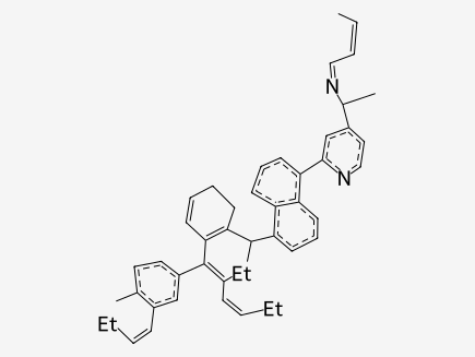 C/C=C\C=N/C(C)c1ccnc(-c2cccc3c(C(C)C4=C(/C(=C(/C=C\CC)CC)c5ccc(C)c(/C=C\CC)c5)C=CCC4)cccc23)c1